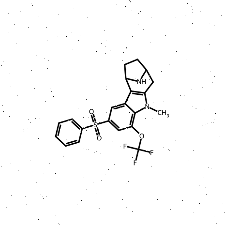 Cn1c2c(c3cc(S(=O)(=O)c4ccccc4)cc(OC(F)(F)F)c31)C1CCC(C2)N1